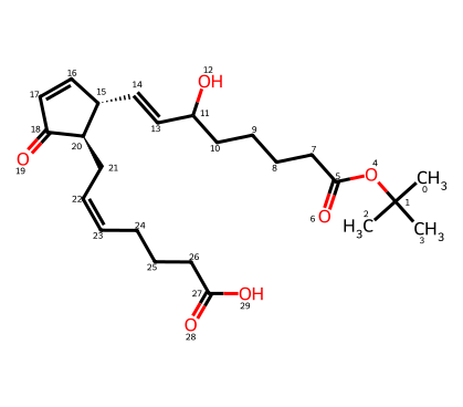 CC(C)(C)OC(=O)CCCCC(O)/C=C/[C@H]1C=CC(=O)[C@@H]1C/C=C\CCCC(=O)O